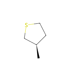 C[C@@H]1CCSC1